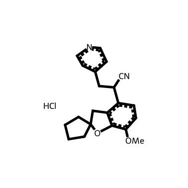 COc1ccc(C(C#N)Cc2ccncc2)c2c1OC1(CCCC1)C2.Cl